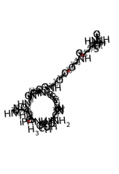 CC(C)C[C@@H]1NC(=O)[C@H]([C@H](C)O)NC(=O)[C@@H](N)Cc2cn(nn2)CCCC[C@@H](C(=O)NCCCOCCOCCOCCCNC(=O)CCCCC2SC[C@H]3NC(=O)N[C@@H]23)NC(=O)C2CCCN2C(=O)CNC(=O)[C@H](CCc2c[nH]cn2)NC1=O